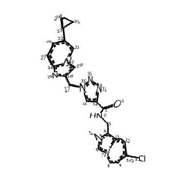 O=C(NCc1ncn2ccc(Cl)cc12)c1cn(Cc2cn3cc(C4CC4)ccc3n2)nn1